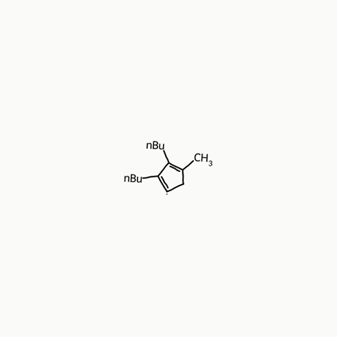 CCCCC1=[C]CC(C)=C1CCCC